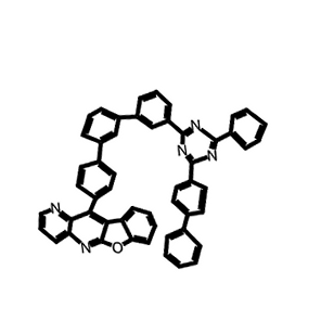 c1ccc(-c2ccc(-c3nc(-c4ccccc4)nc(-c4cccc(-c5cccc(-c6ccc(-c7c8ncccc8nc8oc9ccccc9c78)cc6)c5)c4)n3)cc2)cc1